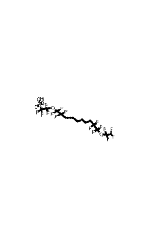 O=S(=O)(O)C(F)(F)C(F)(F)OC(F)(F)C(F)(F)CCCCCCC(F)(F)C(F)(F)OC(F)(F)C(F)F